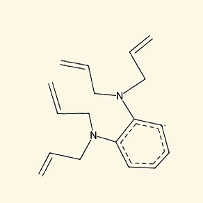 C=CCN(CC=C)c1[c]cccc1N(CC=C)CC=C